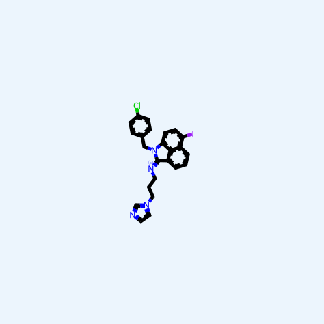 Clc1ccc(CN2/C(=N/CCCn3ccnc3)c3cccc4c(I)ccc2c34)cc1